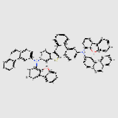 c1ccc2c(c1)ccc1ccc(N(c3ccc4c(c3)sc3c5ccc(N(c6ccc7ccc8ccccc8c7c6)c6cccc7c6oc6ccccc67)cc5c5ccccc5c43)c3cccc4c3oc3ccccc34)cc12